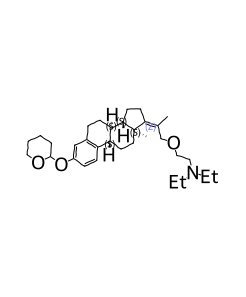 CCN(CC)CCOC/C(C)=C1/CC[C@H]2[C@@H]3CCc4cc(OC5CCCCO5)ccc4[C@H]3CC[C@]12C